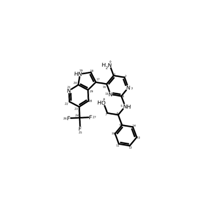 Nc1cnc(NC(CO)c2ccccc2)nc1-c1c[nH]c2ncc(C(F)(F)F)cc12